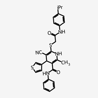 CC1=C(C(=O)Nc2ccccc2)C(c2ccsc2)C(C#N)=C(SCC(=O)Nc2ccc(C(C)C)cc2)N1